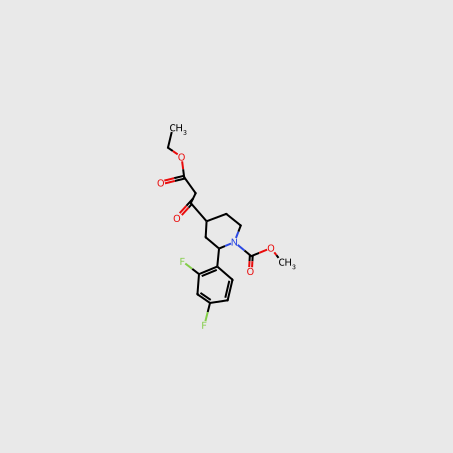 CCOC(=O)CC(=O)C1CCN(C(=O)OC)C(c2ccc(F)cc2F)C1